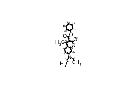 CCN(CC)c1ccc2c(C)c(C(=O)Oc3ccccc3)c(=O)oc2c1